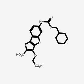 O=C(O)COc1c(C(=O)O)sc2c1sc1cc(NC(=O)OCC3CCCCC3)ccc12